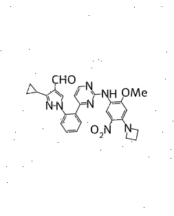 COc1cc(N2CCC2)c([N+](=O)[O-])cc1Nc1nccc(-c2ccccc2-n2cc(C=O)c(C3CC3)n2)n1